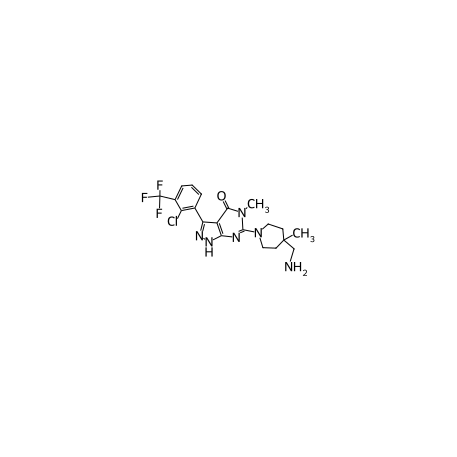 Cn1c(N2CCC(C)(CN)CC2)nc2[nH]nc(-c3cccc(C(F)(F)F)c3Cl)c2c1=O